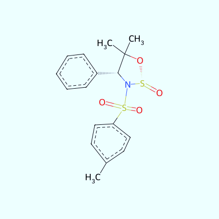 Cc1ccc(S(=O)(=O)N2[C@H](c3ccccc3)C(C)(C)O[S@@]2=O)cc1